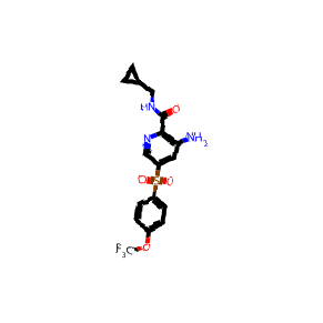 Nc1cc(S(=O)(=O)c2ccc(OC(F)(F)F)cc2)cnc1C(=O)NCC1CC1